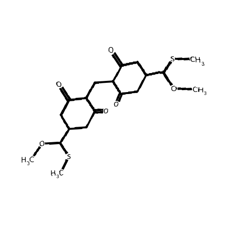 COC(SC)C1CC(=O)C(CC2C(=O)CC(C(OC)SC)CC2=O)C(=O)C1